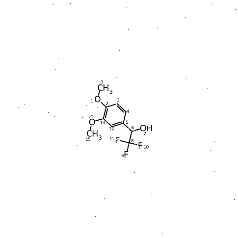 COc1ccc(C(O)C(F)(F)F)cc1OC